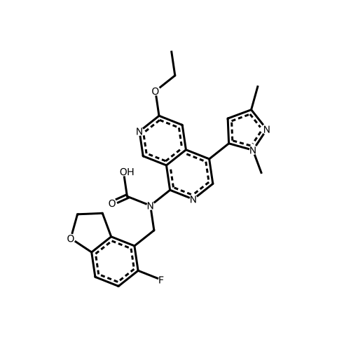 CCOc1cc2c(-c3cc(C)nn3C)cnc(N(Cc3c(F)ccc4c3CCO4)C(=O)O)c2cn1